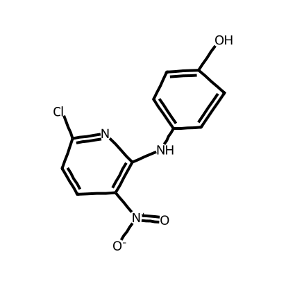 O=[N+]([O-])c1ccc(Cl)nc1Nc1ccc(O)cc1